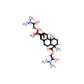 CC(C)C1=CC23CCC4C(C)(C(=O)OCC(O)N(C)C)CCCC4(C)C2CC1C(C(=O)OCC(O)N(C)C)C3